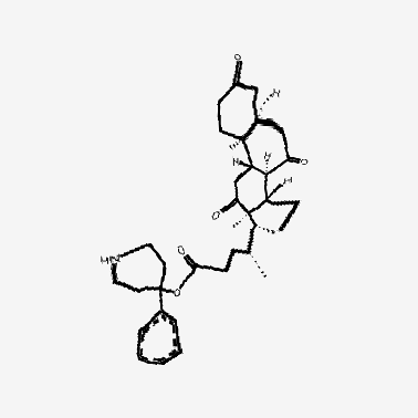 C[C@H](CCC(=O)OC1(c2ccccc2)CCNCC1)[C@H]1CC[C@H]2[C@@H]3C(=O)C[C@@H]4CC(=O)CC[C@]4(C)[C@H]3CC(=O)[C@]12C